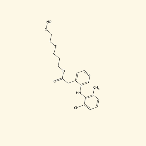 Cc1cccc(Cl)c1Nc1ccccc1CC(=O)OCCSSCCON=O